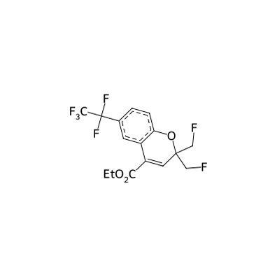 CCOC(=O)C1=CC(CF)(CF)Oc2ccc(C(F)(F)C(F)(F)F)cc21